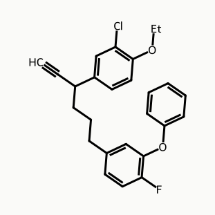 C#CC(CCCc1ccc(F)c(Oc2ccccc2)c1)c1ccc(OCC)c(Cl)c1